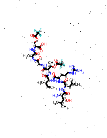 CC[C@H](C)[C@H](NC(=O)[C@@H](CCCNC(=N)N)NC(=O)[C@H](CC(C)C)NC(=O)[C@@H](N)[C@H](O)C(C)C)C(=O)N[C@H](C(=O)NCC(=O)N[C@@H](C)C(=O)N[C@@H](COC(=O)C(F)(F)F)C(=O)O)[C@H](C)OC(=O)C(F)(F)F